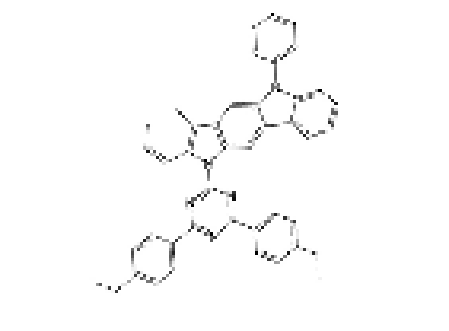 C/C=C\c1c(C)c2cc3c(cc2n1-c1nc(-c2ccc(CC)cc2)nc(-c2ccc(CC)cc2)n1)c1ccccc1n3-c1ccccc1